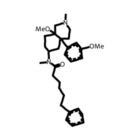 COc1cccc(C23CCN(C)CC2(OC)CCC(N(C)C(=O)CCCCCc2ccccc2)C3)c1